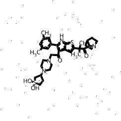 Cc1cc(C)cc(-c2[nH]c3sc(C(C)(C)C(=O)C4C5CCN4CC5)cc3c2C(=O)CN2CCN(C3CCS(O)(O)C3)CC2)c1